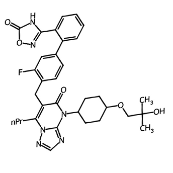 CCCc1c(Cc2ccc(-c3ccccc3-c3noc(=O)[nH]3)cc2F)c(=O)n(C2CCC(OCC(C)(C)O)CC2)c2ncnn12